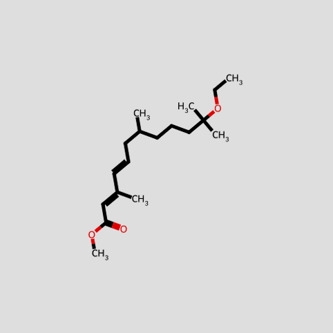 CCOC(C)(C)CCCC(C)C/C=C/C(C)=C/C(=O)OC